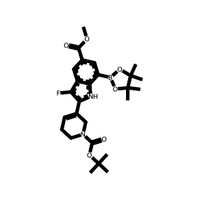 COC(=O)c1cc(B2OC(C)(C)C(C)(C)O2)c2[nH]c(C3=CCCN(C(=O)OC(C)(C)C)C3)c(F)c2c1